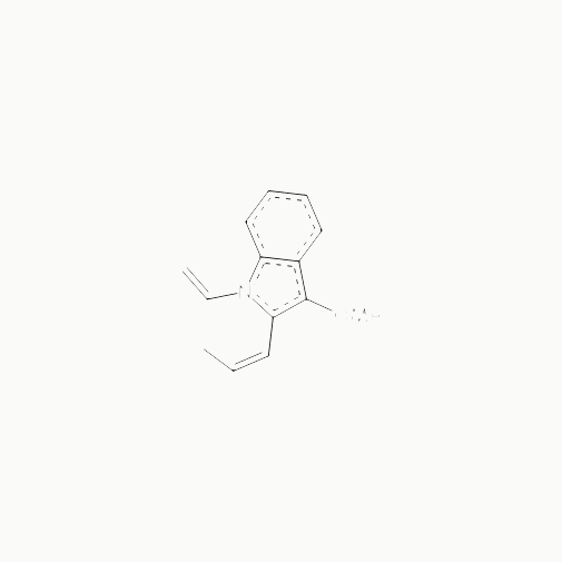 C=Cn1c(/C=C\C)c(OC)c2ccccc21